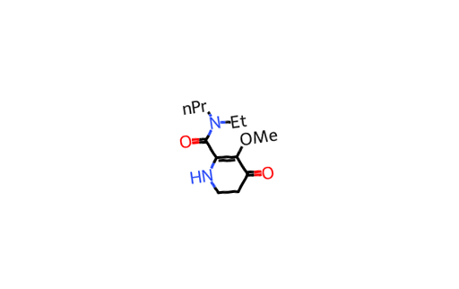 CCCN(CC)C(=O)C1=C(OC)C(=O)CCN1